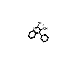 N#Cc1c(N)nc2ccccc2c1-c1ccccc1